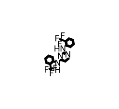 FC(F)(F)c1ccccc1Nc1ccnc(Nc2ccccc2C(F)(F)F)n1